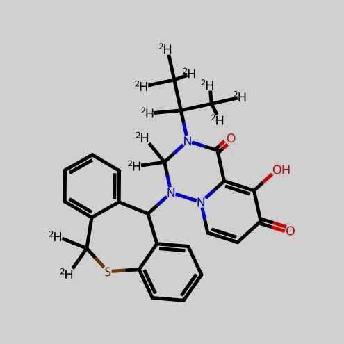 [2H]C1([2H])Sc2ccccc2C(N2n3ccc(=O)c(O)c3C(=O)N(C([2H])(C([2H])([2H])[2H])C([2H])([2H])[2H])C2([2H])[2H])c2ccccc21